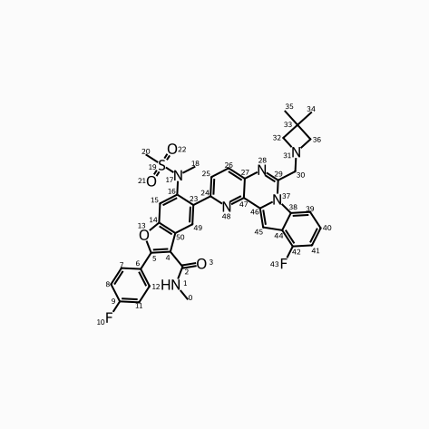 CNC(=O)c1c(-c2ccc(F)cc2)oc2cc(N(C)S(C)(=O)=O)c(-c3ccc4nc(CN5CC(C)(C)C5)n5c6cccc(F)c6cc5c4n3)cc12